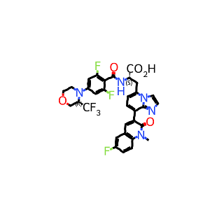 Cn1c(=O)c(-c2ccc(C[C@H](NC(=O)c3c(F)cc(N4CCOC[C@@H]4C(F)(F)F)cc3F)C(=O)O)n3ccnc23)cc2cc(F)ccc21